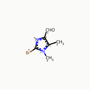 Cc1c(C=O)nc(Br)n1C